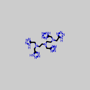 C(CN(Cc1nnn[nH]1)Cc1nnn[nH]1)N(CCN(Cc1nnn[nH]1)Cc1nnn[nH]1)Cc1nnn[nH]1